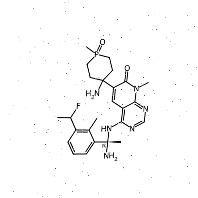 Cc1c(C(C)F)cccc1[C@@](C)(N)Nc1ncnc2c1cc(C1(N)CCP(C)(=O)CC1)c(=O)n2C